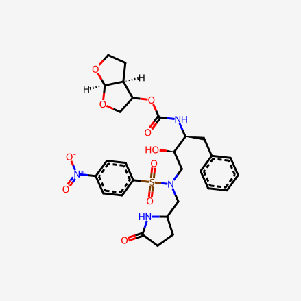 O=C1CCC(CN(C[C@@H](O)[C@H](Cc2ccccc2)NC(=O)OC2CO[C@H]3OCC[C@@H]23)S(=O)(=O)c2ccc([N+](=O)[O-])cc2)N1